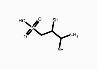 CC(S)C(S)CS(=O)(=O)O